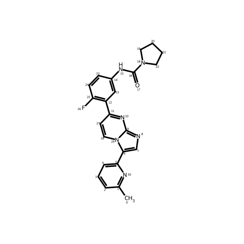 Cc1cccc(-c2cnc3nc(-c4cc(NC(=O)N5CCCC5)ccc4F)ccn23)n1